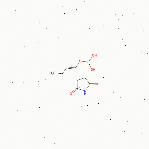 CC/C=C/OB(O)O.O=C1CCC(=O)N1